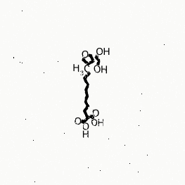 C1CCOC1.CCCCCCCCCC(C(=O)O)C(=O)O.OCCO